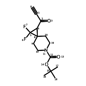 C#CC(=O)C1C(F)(F)C12CCN(C(=O)OC(C)(C)C)CC2